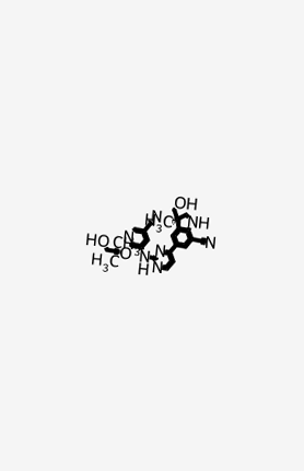 CC(C)(CO)Oc1ncc(C#N)cc1Nc1nccc(-c2cc(C#N)c3c(c2)[C@@](C)(CO)CN3)n1